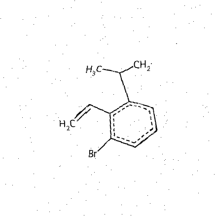 [CH2]C(C)c1cccc(Br)c1C=C